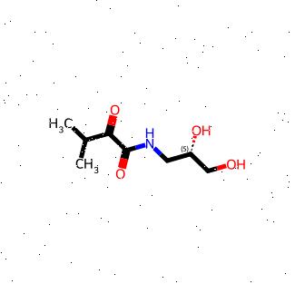 CC(C)C(=O)C(=O)NC[C@H](O)CO